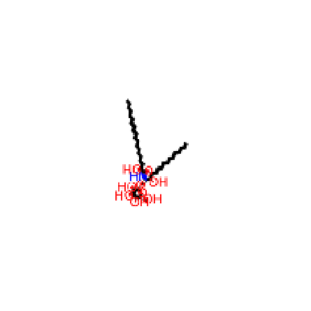 CCCCCCCCC/C=C/C=C/[C@@H](O)[C@H](CO[C@@H]1O[C@H](CO)[C@@H](O)C(O)C1O)NC(=O)C(O)CCCCCCCCCCCCCCCCCC